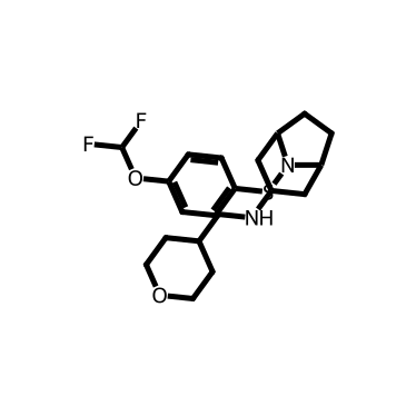 FC(F)Oc1ccc(SN2C3CCC2CC(NCC2CCOCC2)C3)cc1